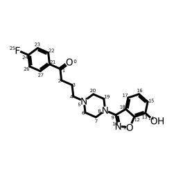 O=C(CCCN1CCN(c2noc3c(O)cccc23)CC1)c1ccc(F)cc1